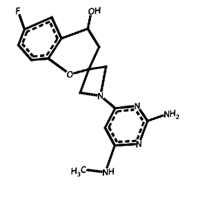 CNc1cc(N2CC3(CC(O)c4cc(F)ccc4O3)C2)nc(N)n1